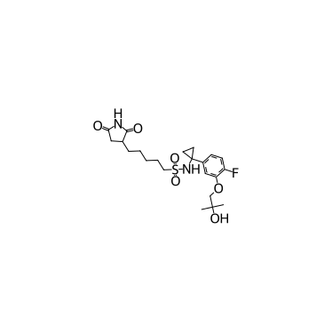 CC(C)(O)COc1cc(C2(NS(=O)(=O)CCCCCC3CC(=O)NC3=O)CC2)ccc1F